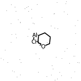 C1CCOCC1.[CH3][Al]